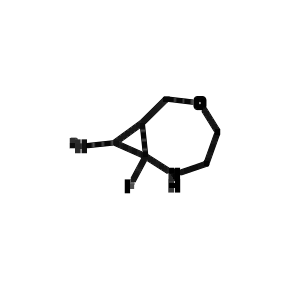 [2H]C1C2COCCNC12F